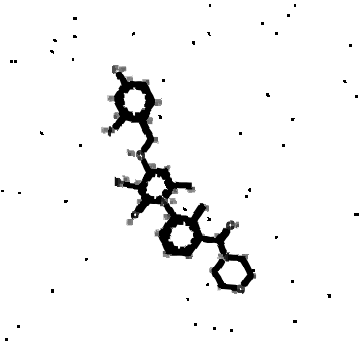 Cc1c(C(=O)N2CCOCC2)cccc1-n1c(C)cc(OCc2ccc(F)cc2F)c(Br)c1=O